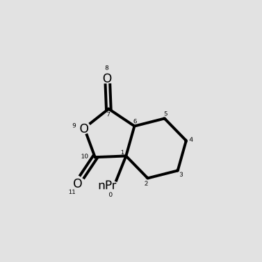 CCCC12CCCCC1C(=O)OC2=O